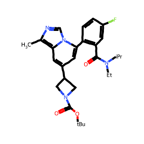 CCN(C(=O)c1cc(F)ccc1-c1cc(C2CN(C(=O)OC(C)(C)C)C2)cc2c(C)ncn12)C(C)C